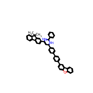 CC1(C)c2ccccc2-c2ccc(C3=CC(c4ccc(-c5ccc(-c6ccc7oc8ccccc8c7c6)cc5)cc4)NC(c4ccccc4)N3)cc21